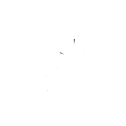 CC(C)(C)[Si](C)(C)OC[C@H]1OC[C@H](O)[C@@H]1O